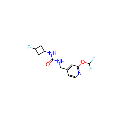 O=C(NCc1ccnc(OC(F)F)c1)NC1CC(F)C1